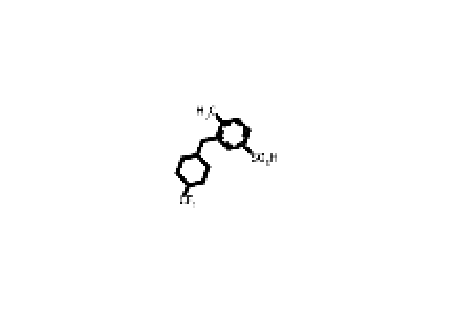 Cc1ccc(S(=O)(=O)O)cc1CC1CCC(C(F)(F)F)CC1